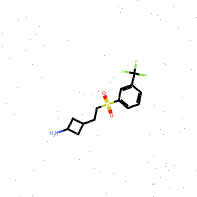 NC1CC(CCS(=O)(=O)c2cccc(C(F)(F)F)c2)C1